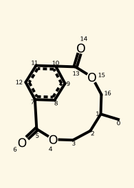 CC1CCOC(=O)c2ccc(cc2)C(=O)OC1